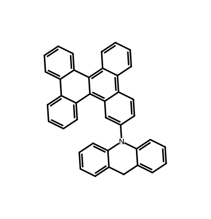 c1ccc2c(c1)Cc1ccccc1N2c1ccc2c3ccccc3c3c4ccccc4c4ccccc4c3c2c1